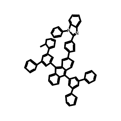 CC1CC=CC=C1c1cc(-c2ccccc2)cc(-c2c3ccccc3c(-c3cc(-c4ccccc4)cc(-c4ccccc4)c3)c3ccc(-c4ccc(-c5nc6ccccc6n5-c5ccccc5)cc4)cc23)c1